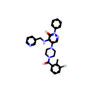 Cc1c(Cl)cccc1C(=O)N1CCN(c2cnn(-c3ccccc3)c(=O)c2NCc2cccnc2)CC1